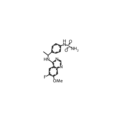 COc1cc2ncnc(NC(C)c3ccc(NS(N)(=O)=O)cc3)c2cc1F